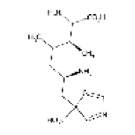 CC(C[C@@H](N)CC1(C(=O)O)C=NC=N1)[C@H](C)[C@H](N)C(=O)O